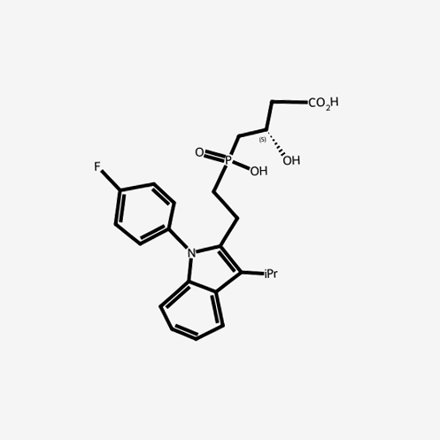 CC(C)c1c(CCP(=O)(O)C[C@@H](O)CC(=O)O)n(-c2ccc(F)cc2)c2ccccc12